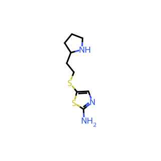 Nc1ncc(SCCC2CCCN2)s1